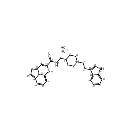 Cl.Cl.O=C(NCC1CCN(CCc2c[nH]c3ccccc23)CC1)C1=Cc2cnc3cccc(n23)S1